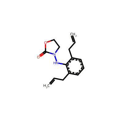 C=CCc1cccc(CC=C)c1NN1CCOC1=O